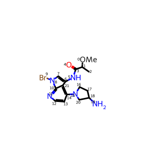 COC(C)C(=O)Nc1cn(Br)c2nccc(N3CCC(N)C3)c12